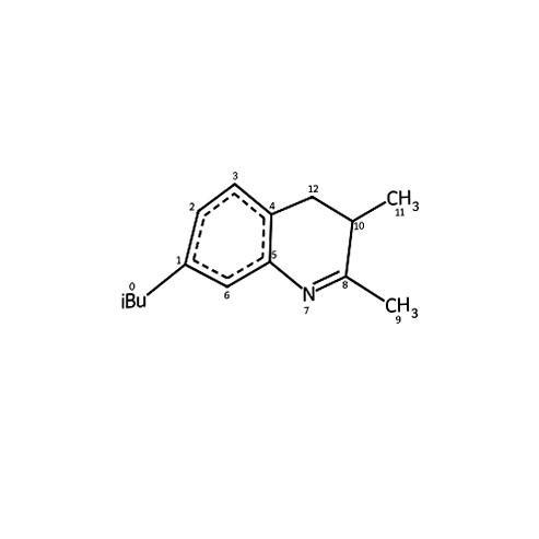 CCC(C)c1ccc2c(c1)N=C(C)C(C)C2